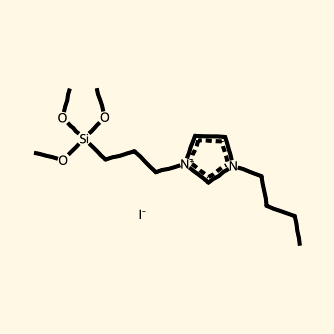 CCCCn1cc[n+](CCC[Si](OC)(OC)OC)c1.[I-]